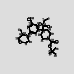 CCS(=O)(=O)C1(c2cc(N3CCOC[C@H]3C)nc(Cl)n2)CCN(C(=O)OC(C)(C)C)CC1